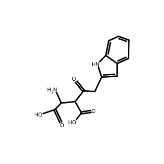 NC(C(=O)O)C(C(=O)O)C(=O)Cc1cc2ccccc2[nH]1